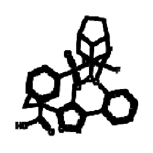 O=C(O)c1cccc(S(=O)(=O)NC2C3CCC2CC(OCc2c(-c4ccccc4OC(F)(F)F)noc2C2CC2)C3)c1